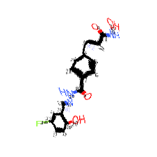 O=C(/C=C/c1ccc(C(=O)N/N=C/c2cc(F)ccc2O)cc1)NO